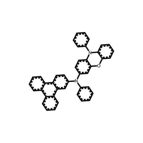 c1ccc(N(c2ccc3c(c2)Oc2ccccc2N3c2ccccc2)c2ccc3c4ccccc4c4ccccc4c3c2)cc1